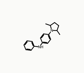 CC1CCC(C)N1c1ccc(Nc2ccccc2)cc1